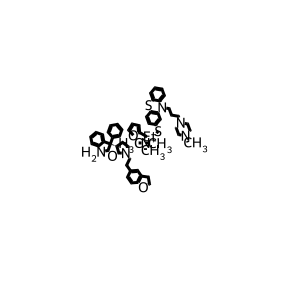 CCSc1ccc2c(c1)N(CCCN1CCN(C)CC1)c1ccccc1S2.C[N+](C)(C)Cc1ccco1.NC(=O)C(c1ccccc1)(c1ccccc1)[C@@H]1CCN(CCc2ccc3c(c2)CCO3)C1